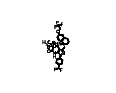 CS(=O)(=O)CC(=O)Nc1c2c(nn1-c1ccc(C(F)F)cc1)C[C@]1(CCCc3cc(OCC(F)(F)F)ccc31)NC2=O